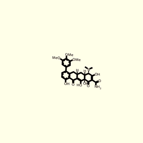 COc1cc(-c2ccc(O)c3c2C[C@@H]2C[C@@H]4[C@@H](N(C)C)C(O)=C(C(N)=O)C(=O)[C@]4(O)C(O)=C2C3=O)cc(OC)c1OC